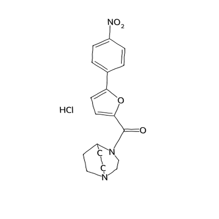 Cl.O=C(c1ccc(-c2ccc([N+](=O)[O-])cc2)o1)N1CCN2CCC1CC2